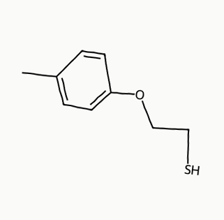 Cc1ccc(OCCS)cc1